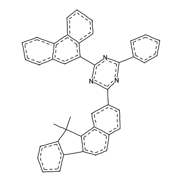 CC1(C)c2ccccc2-c2ccc3ccc(-c4nc(-c5ccccc5)nc(-c5cc6ccccc6c6ccccc56)n4)cc3c21